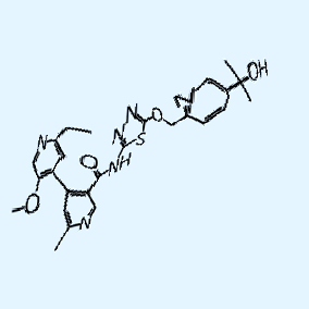 CCc1cc(-c2cc(C)ncc2C(=O)Nc2nnc(OCc3ccc(C(C)(C)O)cn3)s2)c(OC)cn1